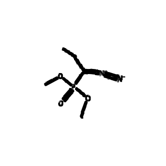 CCC(=[N+]=[N-])P(=O)(OC)OC